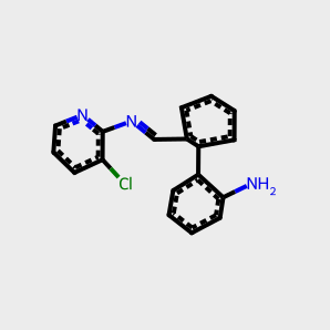 Nc1ccccc1-c1ccccc1C=Nc1ncccc1Cl